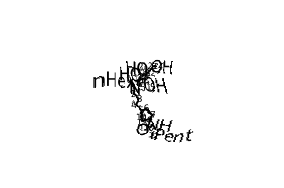 CCCCCCN(CCCc1ccc(NC(=O)[C@@H](C)CCC)cc1)C[C@H](O)[C@@H](O)[C@H](O)CCO